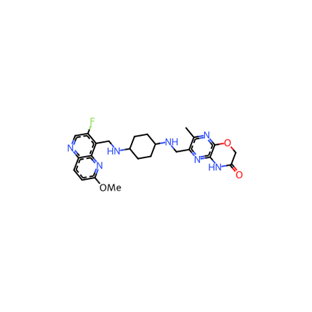 COc1ccc2ncc(F)c(CNC3CCC(NCc4nc5c(nc4C)OCC(=O)N5)CC3)c2n1